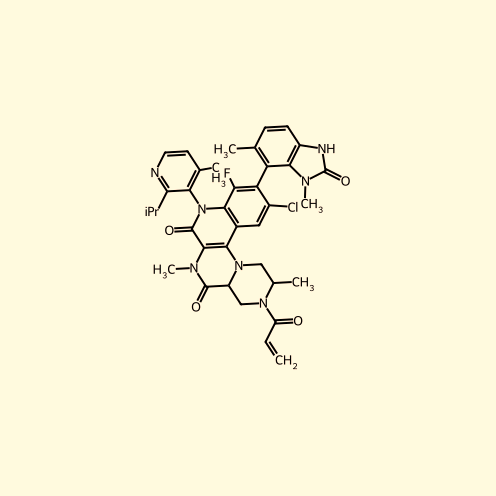 C=CC(=O)N1CC2C(=O)N(C)c3c(c4cc(Cl)c(-c5c(C)ccc6[nH]c(=O)n(C)c56)c(F)c4n(-c4c(C)ccnc4C(C)C)c3=O)N2CC1C